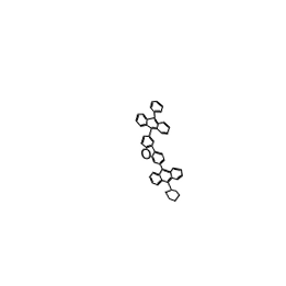 c1ccc(-c2c3ccccc3c(-c3ccc4oc5cc(-c6c7ccccc7c(C7CCCCC7)c7ccccc67)ccc5c4c3)c3ccccc23)cc1